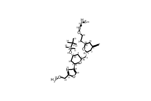 C=C1C[C@H](C[C@@H]2C[C@@H](O[Si](C)(C)C(C)(C)C)C[C@H](c3coc(COP)n3)O2)O[C@@H](CCOB=[PH]=S)C1